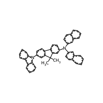 CC1(C)c2cc(N(c3ccc4ccccc4c3)c3ccc4ccccc4c3)ccc2-c2ccc(-n3c4ccccc4c4ccccc43)cc21